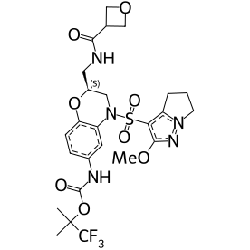 COc1nn2c(c1S(=O)(=O)N1C[C@H](CNC(=O)C3COC3)Oc3ccc(NC(=O)OC(C)(C)C(F)(F)F)cc31)CCC2